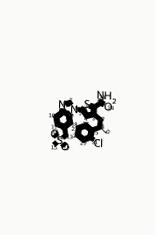 C[C@@H](Cc1cc(-n2cnc3ccc(CS(C)(=O)=O)cc32)sc1C(N)=O)c1ccccc1Cl